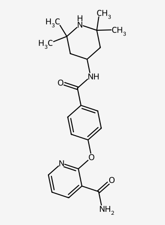 CC1(C)CC(NC(=O)c2ccc(Oc3ncccc3C(N)=O)cc2)CC(C)(C)N1